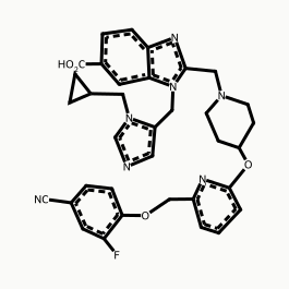 N#Cc1ccc(OCc2cccc(OC3CCN(Cc4nc5ccc(C(=O)O)cc5n4Cc4cncn4CC4CC4)CC3)n2)c(F)c1